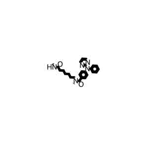 CNC(=O)CCCCCCN(C)C(=O)c1ccc(N(c2ccccc2)c2ncccn2)cc1